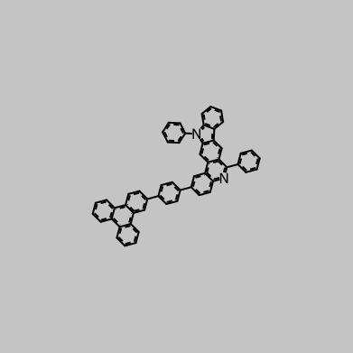 c1ccc(-c2nc3ccc(-c4ccc(-c5ccc6c7ccccc7c7ccccc7c6c5)cc4)cc3c3cc4c(cc23)c2ccccc2n4-c2ccccc2)cc1